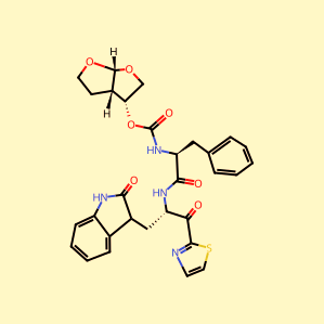 O=C(N[C@@H](Cc1ccccc1)C(=O)N[C@@H](CC1C(=O)Nc2ccccc21)C(=O)c1nccs1)O[C@H]1CO[C@H]2OCC[C@H]21